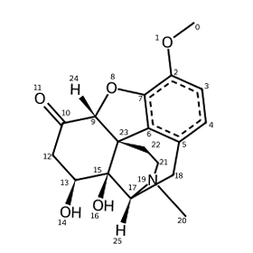 COc1ccc2c3c1O[C@H]1C(=O)C[C@H](O)[C@@]4(O)[C@@H](C2)N(C)CC[C@]314